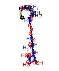 CC[C@H](C)[C@@H]1NC(=O)[C@H](CC(C)C)NC(=O)C(C)(C)NC(=O)CCSCc2cccc(c2)CSCC(C(=O)NCCCOCCOCCOCCCNC(=O)CCC(=O)N[C@@H](CCCCNC(O)CN2CCN(CC(=O)O)CCN(CC(=O)O)CCN(CC(=O)O)CC2)C(N)=O)NC1=O